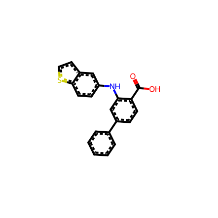 O=C(O)c1ccc(-c2ccccc2)cc1Nc1ccc2sccc2c1